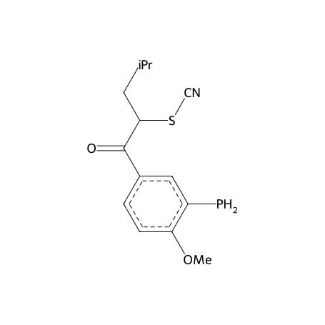 COc1ccc(C(=O)C(CC(C)C)SC#N)cc1P